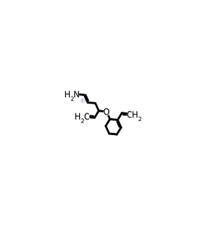 C=CC1=CCCCC1OC(C=C)C/C=C/N